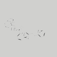 O=C(NCC12CC3CC(CC(C3)C1)C2)c1cccc2nc(CCc3ccccn3)cn12